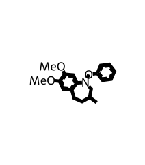 COc1cc2c(cc1OC)N(Oc1ccccc1)CC(C)CC2